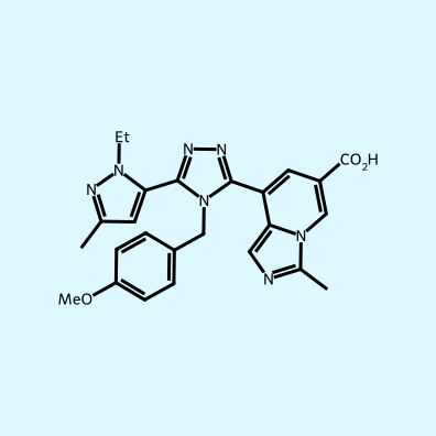 CCn1nc(C)cc1-c1nnc(-c2cc(C(=O)O)cn3c(C)ncc23)n1Cc1ccc(OC)cc1